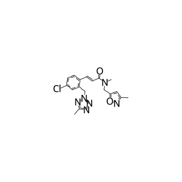 Cc1cc(CN(C)C(=O)/C=C/c2ccc(Cl)cc2Cn2nnc(C)n2)on1